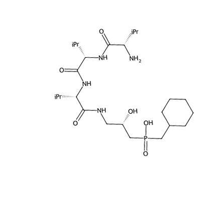 CC(C)[C@H](N)C(=O)N[C@H](C(=O)N[C@H](C(=O)NC[C@H](O)CP(=O)(O)CC1CCCCC1)C(C)C)C(C)C